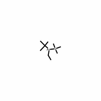 CC[As](C(C)(C)C)[Si](C)(C)C